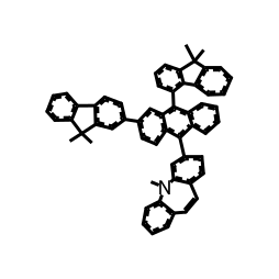 CN1c2ccccc2C=Cc2ccc(-c3c4ccccc4c(-c4cccc5c4-c4ccccc4C5(C)C)c4cc(-c5ccc6c(c5)C(C)(C)c5ccccc5-6)ccc34)cc21